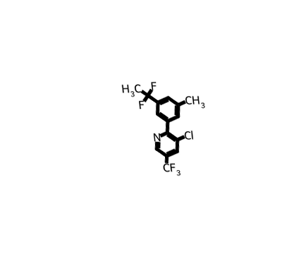 Cc1cc(-c2ncc(C(F)(F)F)cc2Cl)cc(C(C)(F)F)c1